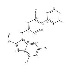 CCc1nc2c(C)cc(C)nc2n1Cc1ccc(-c2ccccc2)c(I)c1